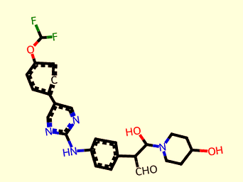 O=CC(c1ccc(Nc2ncc(-c3ccc(OC(F)F)cc3)cn2)cc1)C(O)N1CCC(O)CC1